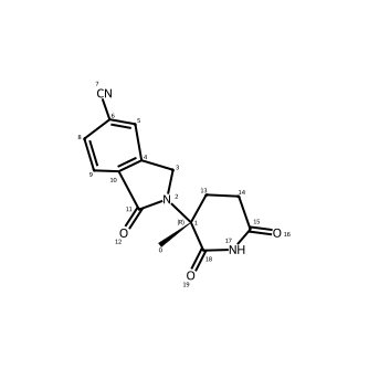 C[C@@]1(N2Cc3cc(C#N)ccc3C2=O)CCC(=O)NC1=O